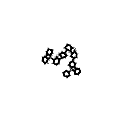 c1ccc(-n2c3ccccc3c3cc(-c4ccc5oc6cccc(-c7ccc8c(c7)oc7c(-n9c%10ccccc%10c%10ccccc%109)cccc78)c6c5c4)ccc32)cc1